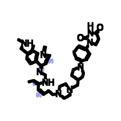 C=N/C=C\C(=N/CNC(/C=C\CCN1CCN(CC2CCN(C3=CCC=C(N4CCC(=O)NC4=O)C=C3)CC2)CC1)=C/C)c1ccc(CNC)c(C)c1